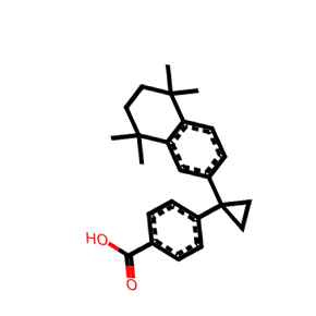 CC1(C)CCC(C)(C)c2cc(C3(c4ccc(C(=O)O)cc4)CC3)ccc21